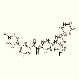 CN1CCN(c2cccc(C(=O)Nc3ccc(-n4nc(-c5cccnc5)cc4C(F)(F)F)nn3)c2)CC1